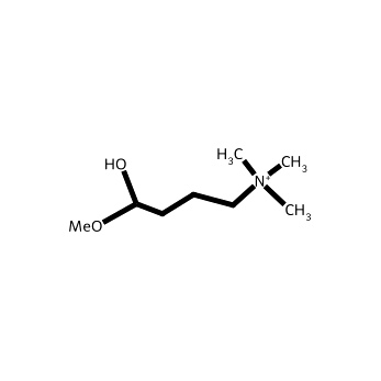 COC(O)CCC[N+](C)(C)C